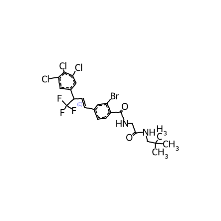 CC(C)(C)CNC(=O)CNC(=O)c1ccc(/C=C/C(c2cc(Cl)c(Cl)c(Cl)c2)C(F)(F)F)cc1Br